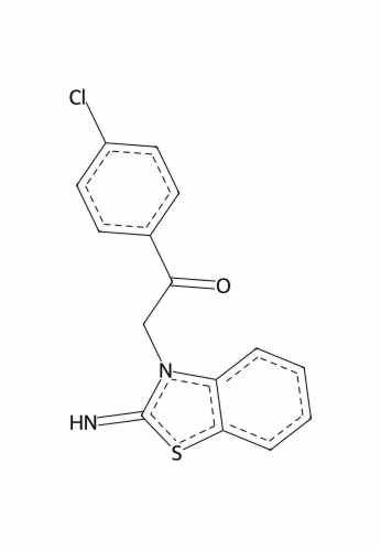 N=c1sc2ccccc2n1CC(=O)c1ccc(Cl)cc1